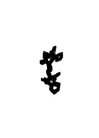 CC1=NN(C)C(=O)/C1=C/C=C1N(C)c2ccccc2N1C